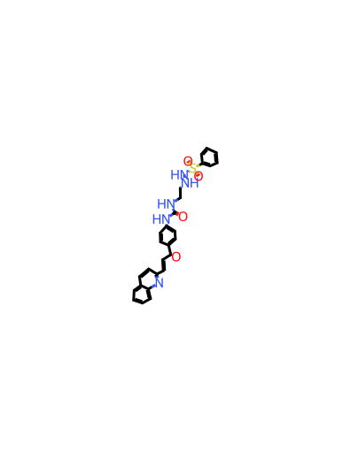 O=C(NCCNNS(=O)(=O)c1ccccc1)Nc1ccc(C(=O)/C=C/c2ccc3ccccc3n2)cc1